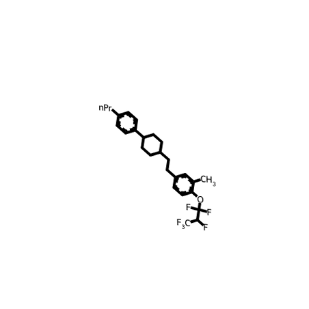 CCCc1ccc(C2CCC(CCc3ccc(OC(F)(F)C(F)C(F)(F)F)c(C)c3)CC2)cc1